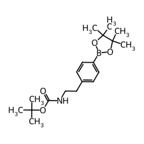 CC(C)(C)OC(=O)NCCc1ccc(B2OC(C)(C)C(C)(C)O2)cc1